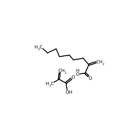 C=C(C)C(=O)O.C=C(CCCCCCC)C(=O)O